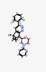 CC1(C)[C@H]2CC[C@]1([C@@H]1CN(c3ccccn3)CCO1)c1nnc(-c3c(F)cccc3F)cc12